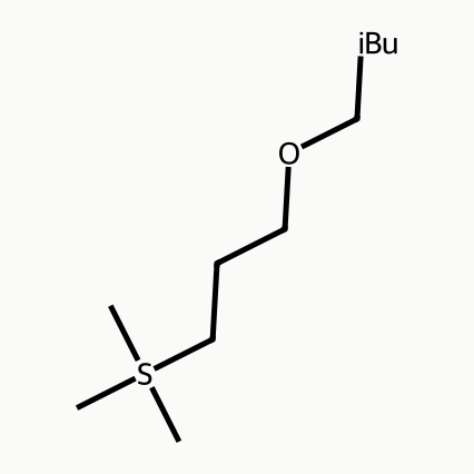 CCC(C)COCCCS(C)(C)C